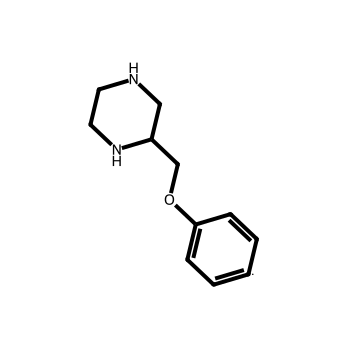 [c]1ccc(OCC2CNCCN2)cc1